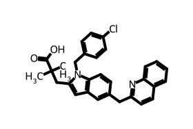 CC(C)(Cc1cc2cc(Cc3ccc4ccccc4n3)ccc2n1Cc1ccc(Cl)cc1)C(=O)O